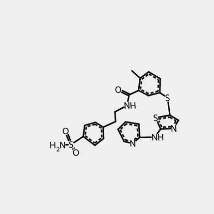 Cc1ccc(Sc2cnc(Nc3ccccn3)s2)cc1C(=O)NCCc1ccc(S(N)(=O)=O)cc1